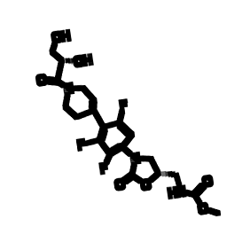 COC(=O)NC[C@H]1CN(c2cc(F)c(C3=CCN(C(=O)[C@@H](O)CO)CC3)c(F)c2F)C(=O)O1